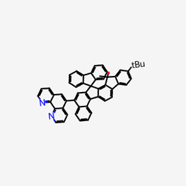 CC(C)(C)c1ccc2c(c1)C(C)(C)c1c-2ccc2c1C1(c3ccccc3-c3ccccc31)c1cc(-c3cc4cccnc4c4ncccc34)c3ccccc3c1-2